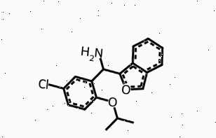 CC(C)Oc1ccc(Cl)cc1C(N)c1occ2ccccc12